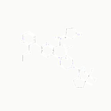 CCOc1ncccc1-c1ccc(N2CCN(C(=O)N3CCCC3(C)C(F)(F)F)C[C@H]2CC)c(C(=O)N[C@@H]2CCNC2)n1